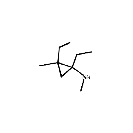 CCC1(C)CC1(CC)NC